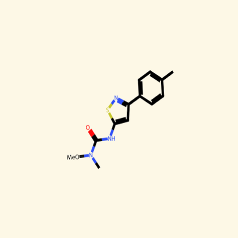 CON(C)C(=O)Nc1cc(-c2ccc(C)cc2)ns1